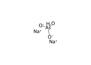 O=[AsH]([O-])[O-].[Na+].[Na+]